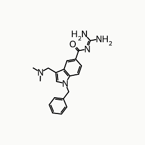 CN(C)Cc1cn(Cc2ccccc2)c2ccc(C(=O)N=C(N)N)cc12